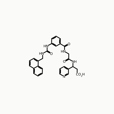 O=C(O)CC(NC(=O)CNC(=O)c1cccc(NC(=O)NCc2cccc3ccccc23)c1)c1cccnc1